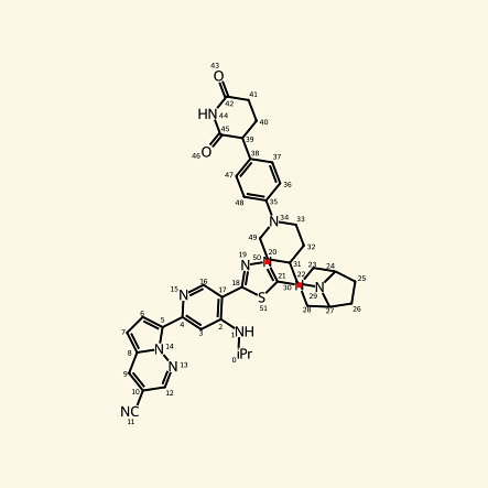 CC(C)Nc1cc(-c2ccc3cc(C#N)cnn23)ncc1-c1nnc(N2CC3CCC(C2)N3CC2CCN(c3ccc(C4CCC(=O)NC4=O)cc3)CC2)s1